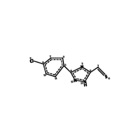 S=Cc1nc(-c2ccc(Cl)cc2)n[nH]1